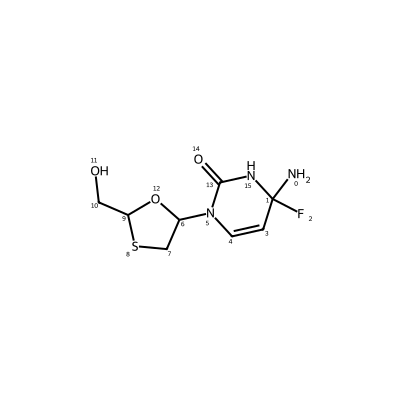 NC1(F)C=CN(C2CSC(CO)O2)C(=O)N1